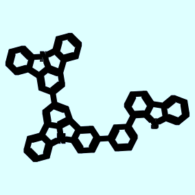 c1cc(-c2ccc3c(c2)c2cc(-c4cc5c6ccccc6n6c7ccccc7c(c4)c56)cc4c5ccccc5n3c42)cc(-c2cccc3c2sc2ccccc23)c1